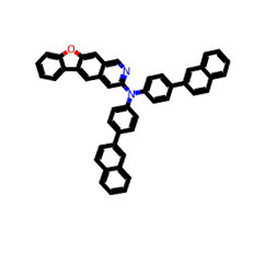 c1ccc2cc(-c3ccc(N(c4ccc(-c5ccc6ccccc6c5)cc4)c4cc5cc6c(cc5cn4)oc4ccccc46)cc3)ccc2c1